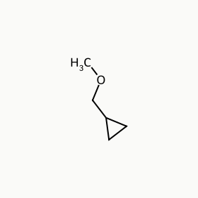 COCC1CC1